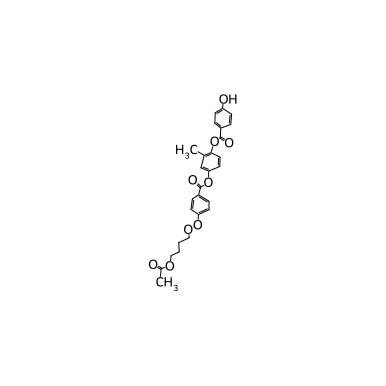 CC(=O)OCCCCOOc1ccc(C(=O)Oc2ccc(OC(=O)c3ccc(O)cc3)c(C)c2)cc1